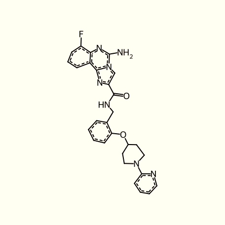 Nc1nc2c(F)cccc2c2nc(C(=O)NCc3ccccc3OC3CCN(c4ccccn4)CC3)cn12